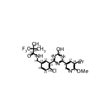 COc1ncc(-c2nc(O)nc(-c3cc(CNC(=O)C(C)(C)C(F)(F)F)ccc3Cl)n2)cc1C(C)C